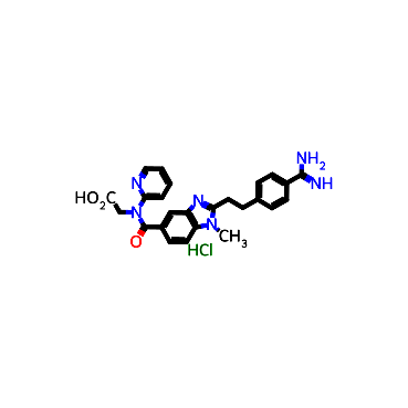 Cl.Cn1c(CCc2ccc(C(=N)N)cc2)nc2cc(C(=O)N(CC(=O)O)c3ccccn3)ccc21